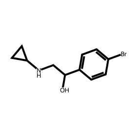 OC(CNC1CC1)c1ccc(Br)cc1